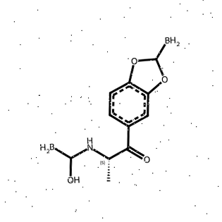 BC(O)N[C@@H](C)C(=O)c1ccc2c(c1)OC(B)O2